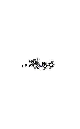 CCCCOC[C@@]12CC[C@@H](CC)[C@H](/C=C/c3ccc(-c4ccccc4)cn3)[C@@H]1[C@@H](C)OC2=O